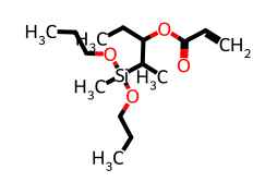 C=CC(=O)OC(CC)C(C)[Si](C)(OCCC)OCCC